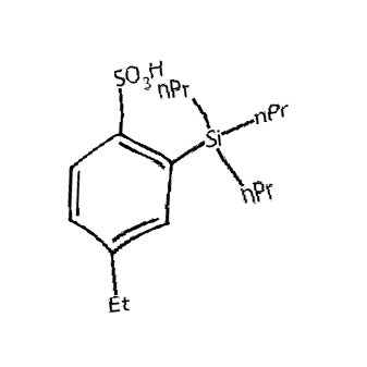 CCC[Si](CCC)(CCC)c1cc(CC)ccc1S(=O)(=O)O